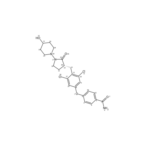 NC(=O)c1ccc(Oc2cc(Cl)c(C[C@@H]3CCN(N4CCC(O)CC4)C3=O)c(Cl)c2)cc1